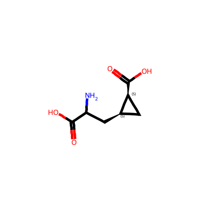 NC(C[C@@H]1C[C@@H]1C(=O)O)C(=O)O